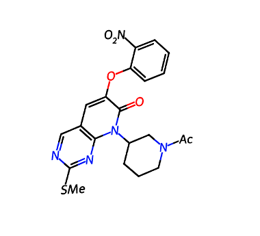 CSc1ncc2cc(Oc3ccccc3[N+](=O)[O-])c(=O)n(C3CCCN(C(C)=O)C3)c2n1